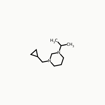 CC(C)N1CCCN(CC2CC2)C1